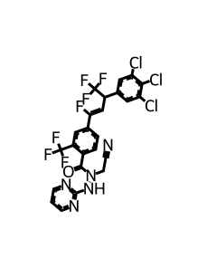 N#CCN(Nc1ncccn1)C(=O)c1ccc(C(F)=CC(c2cc(Cl)c(Cl)c(Cl)c2)C(F)(F)F)cc1C(F)(F)F